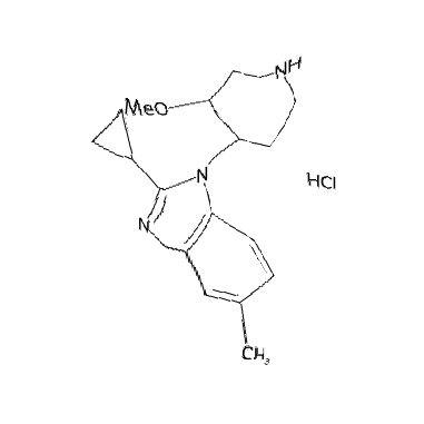 COC1CNCCC1n1c(C2CC2)nc2cc(C)ccc21.Cl